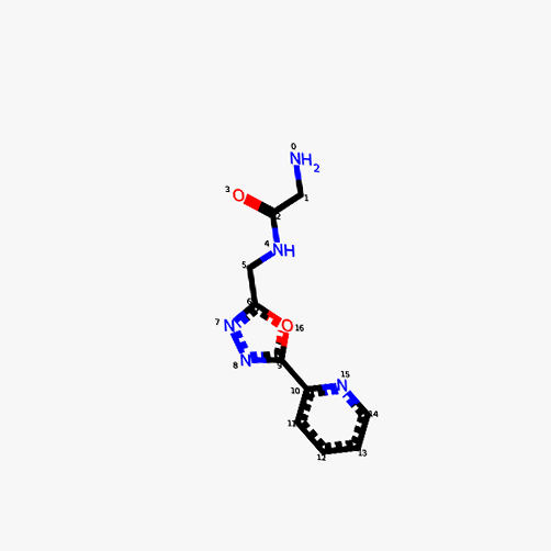 NCC(=O)NCc1nnc(-c2ccccn2)o1